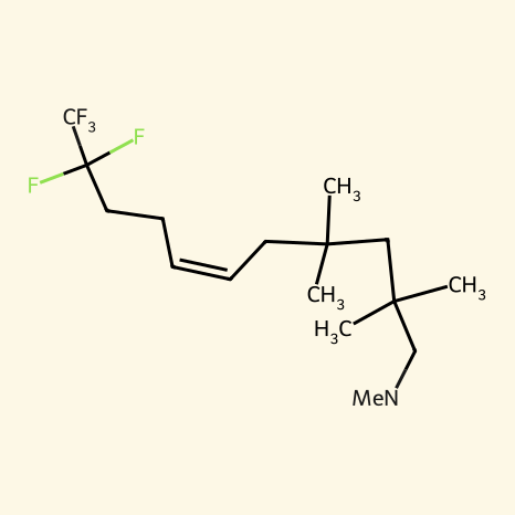 CNCC(C)(C)CC(C)(C)C/C=C\CCC(F)(F)C(F)(F)F